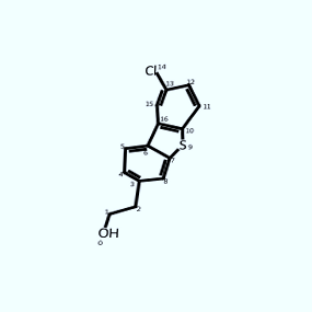 OCCc1ccc2c(c1)sc1ccc(Cl)cc12